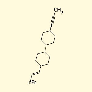 CC#C[C@H]1CC[C@H](C2CCC(/C=C/CCC)CC2)CC1